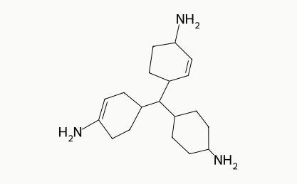 NC1=CCC(C(C2C=CC(N)CC2)C2CCC(N)CC2)CC1